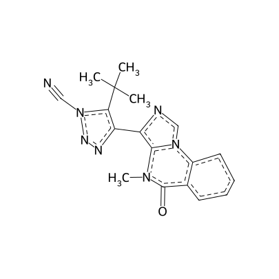 Cn1c(=O)c2ccccc2n2cnc(-c3nnn(C#N)c3C(C)(C)C)c12